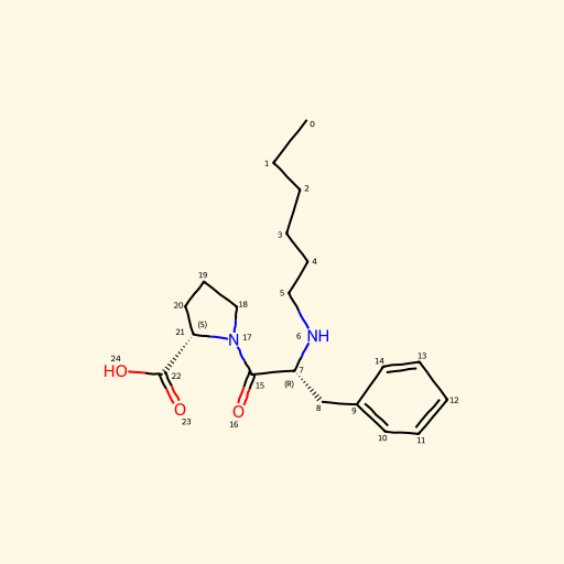 CCCCCCN[C@H](Cc1ccccc1)C(=O)N1CCC[C@H]1C(=O)O